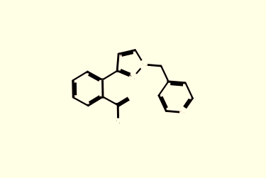 NC(=O)c1ccccc1-c1ccn(Cc2ccncc2)n1